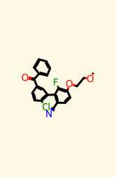 COCCOc1ccc(C#N)c(-c2cc(C(=O)c3ccccc3)ccc2Cl)c1F